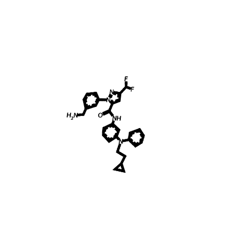 NCc1cccc(-n2nc(C(F)F)cc2C(=O)Nc2cccc(N(CCC3CC3)c3ccccc3)c2)c1